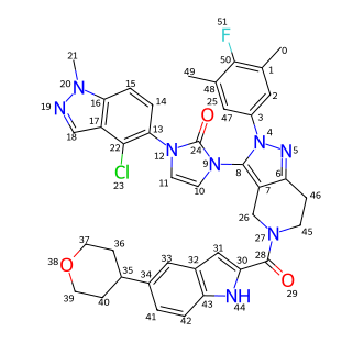 Cc1cc(-n2nc3c(c2-n2ccn(-c4ccc5c(cnn5C)c4Cl)c2=O)CN(C(=O)c2cc4cc(C5CCOCC5)ccc4[nH]2)CC3)cc(C)c1F